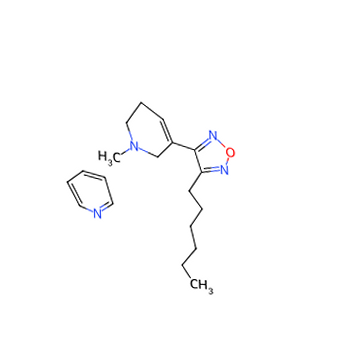 CCCCCCc1nonc1C1=CCCN(C)C1.c1ccncc1